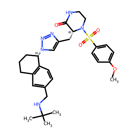 COc1ccc(S(=O)(=O)N2CCNC(=O)[C@H]2Cc2cn([C@H]3CCCc4cc(CNC(C)(C)C)ccc43)nn2)cc1